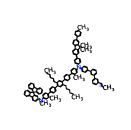 C/C=C/c1cccc(-c2cccc(-c3ccc(N(c4ccc(-c5ccc6c(c5)C(C)(C)c5cc(-c7ccc(C)cc7)ccc5-6)cc4)c4ccc(-c5ccc(-c6cc(CCCCCC)c(-c7ccc(-c8ccc(N(C)c9ccc%10c(c9)C9(c%11ccccc%11-c%11ccccc%119)c9ccccc9-%10)cc8C)cc7)cc6CCCCCC)cc5)c(C)c4)cc3)c2)c1